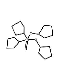 [O]=[Ti]([O]C1CCCC1)([O]C1CCCC1)([CH]1CCCC1)[CH]1CCCC1